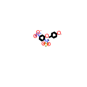 COc1ccc(COc2cc([N+](=O)[O-])ccc2N(C)S(C)(=O)=O)cc1